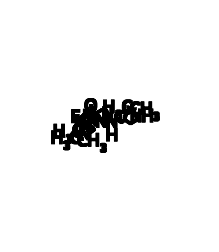 CC1(C)NCCc2cc(Nc3ncc4c(=O)n(CC(F)(F)F)n(-c5ccn(C(C)(C)C)n5)c4n3)ccc21